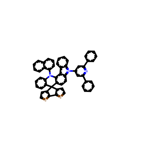 c1ccc(-c2cc(-n3c4ccccc4c4c5c(ccc43)C3(c4ccccc4N5c4cccc5ccccc45)c4ccsc4-c4sccc43)cc(-c3ccccc3)n2)cc1